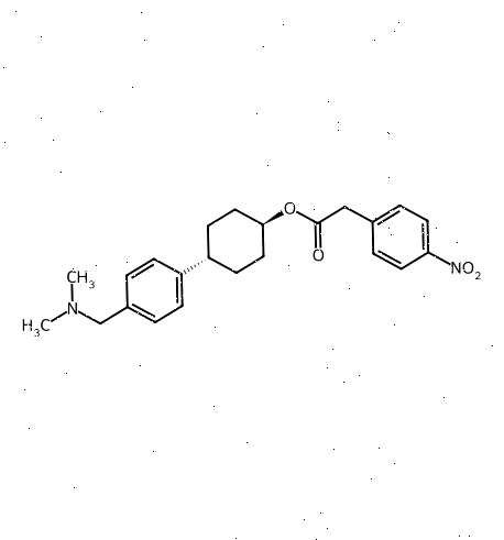 CN(C)Cc1ccc([C@H]2CC[C@H](OC(=O)Cc3ccc([N+](=O)[O-])cc3)CC2)cc1